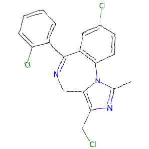 Cc1nc(CCl)c2n1-c1ccc(Cl)cc1C(c1ccccc1Cl)=NC2